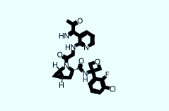 CC(=O)C(=N)c1cccnc1NCC(=O)N1[C@@H]2C[C@@H]2C[C@H]1C(=O)NC1(c2cccc(Cl)c2F)COC1